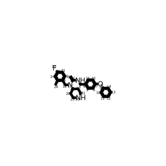 C=C(NCc1ccc(Oc2ccccc2)cc1)N(Cc1ccc(F)cc1C)C1CCNCC1